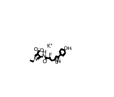 CCn1cc(NC(=O)C(F)Cc2cc(-c3ccc(O)cc3)no2)c(C(=O)[O-])c1.[K+]